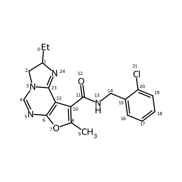 CCC1CN2C=Nc3oc(C)c(C(=O)NCc4ccccc4Cl)c3C2=N1